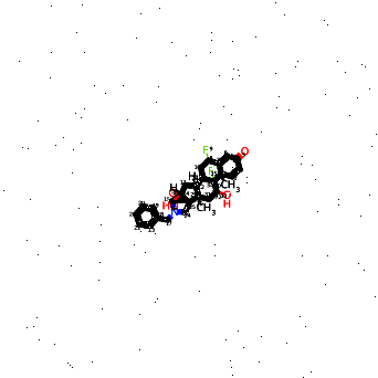 C[C@]12C=CC(=O)C=C1[C@@H](F)CC1[C@@H]3C[C@H]4CN(Cc5ccccc5)C[C@@]4(C(=O)O)[C@@]3(C)C[C@H](O)[C@@]12F